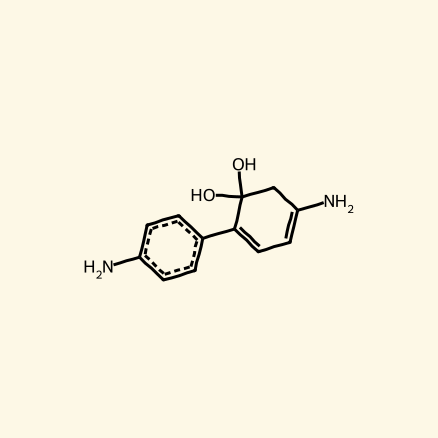 NC1=CC=C(c2ccc(N)cc2)C(O)(O)C1